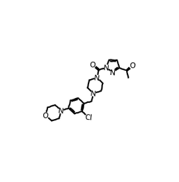 CC(=O)c1ccn(C(=O)N2CCN(Cc3ccc(N4CCOCC4)cc3Cl)CC2)n1